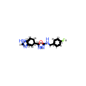 Fc1ccc(CNc2nnc(C3C=c4nc[nH]c4=CC3)o2)cc1